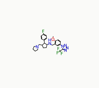 COc1ccc(-n2nnnc2C(F)(F)F)cc1CNC1CCC(CN2CCCC2)C1c1ccc(F)cc1